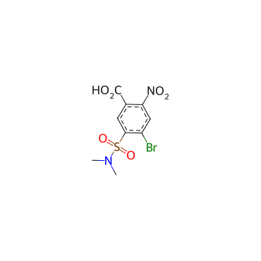 CN(C)S(=O)(=O)c1cc(C(=O)O)c([N+](=O)[O-])cc1Br